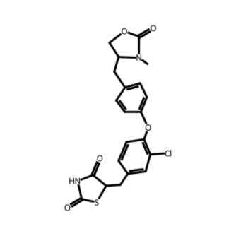 CN1C(=O)OCC1Cc1ccc(Oc2ccc(CC3SC(=O)NC3=O)cc2Cl)cc1